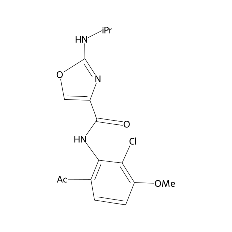 COc1ccc(C(C)=O)c(NC(=O)c2coc(NC(C)C)n2)c1Cl